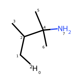 [2H]CC(C)C(C)(C)N